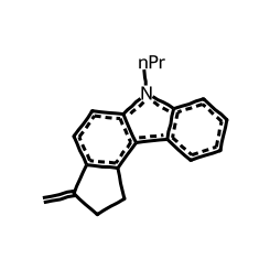 C=C1CCc2c1ccc1c2c2ccccc2n1CCC